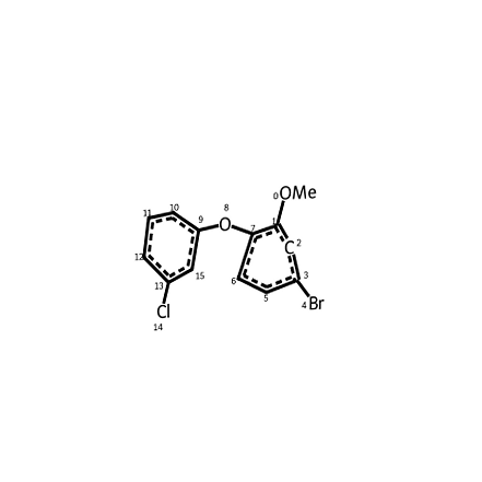 COc1cc(Br)ccc1Oc1cccc(Cl)c1